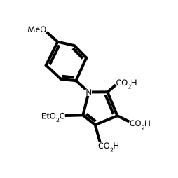 CCOC(=O)c1c(C(=O)O)c(C(=O)O)c(C(=O)O)n1-c1ccc(OC)cc1